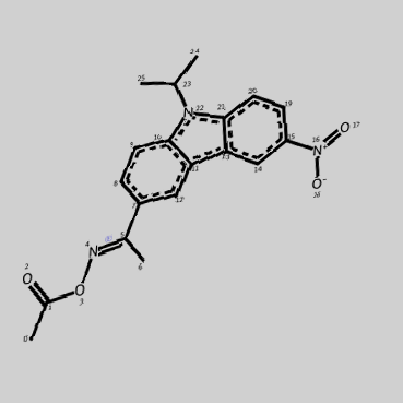 CC(=O)O/N=C(\C)c1ccc2c(c1)c1cc([N+](=O)[O-])ccc1n2C(C)C